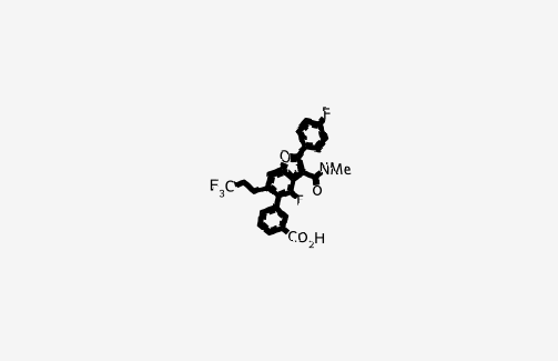 CNC(=O)c1c(-c2ccc(F)cc2)oc2cc(CCC(F)(F)F)c(-c3cccc(C(=O)O)c3)c(F)c12